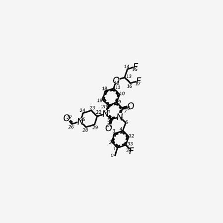 Cc1ccc(Cn2c(=O)c3cc(OC(CF)CF)ccc3n(C3CCN(C=O)CC3)c2=O)cc1F